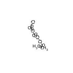 CN(C)C(=O)c1ccc(-c2ccc3c(c2)COC(C2CCN(C(=O)OCc4ccccc4)CC2)O3)cc1